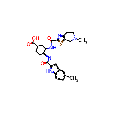 Cc1ccc2[nH]c(C(=O)/N=C3\CC[C@@H](C(=O)O)C[C@H]3NC(=O)c3nc4c(s3)CN(C)CC4)cc2c1